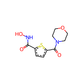 O=C(NO)c1ccc(C(=O)N2CCOCC2)s1